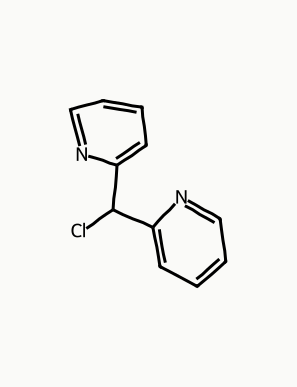 ClC(c1ccccn1)c1ccccn1